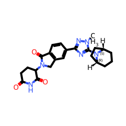 Cn1nc(-c2ccc3c(c2)CN(C2CCC(=O)NC2=O)C3=O)nc1N1[C@@H]2CCC[C@H]1CC2